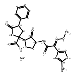 CON=C(C(=O)N[C@H]1CON(C2(C(=O)[O-])CC(c3ccccc3)C(=O)O2)C1=O)c1csc(N)n1.[Na+]